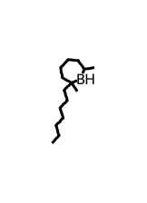 CCCCCCCC1(C)BC(C)CCCC1